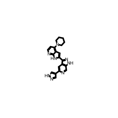 c1cc(N2CCCCC2)c2cc(-c3n[nH]c4cnc(-c5cn[nH]c5)cc34)[nH]c2n1